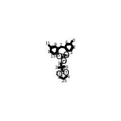 Cc1ccc2c(c1)Cc1cc(C)ccc1OP(OCC(C)(C)C1OCCCO1)O2